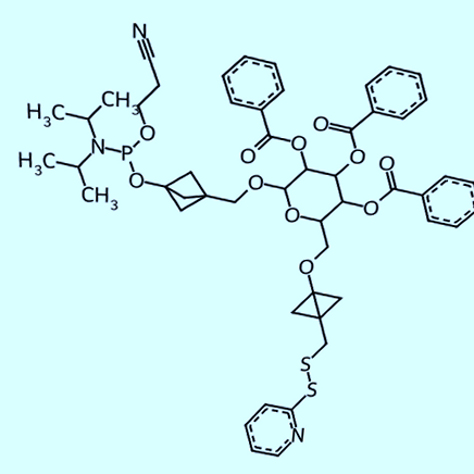 CC(C)N(C(C)C)P(OCCC#N)OC12CC(COC3OC(COC45CC4(CSSc4ccccn4)C5)C(OC(=O)c4ccccc4)C(OC(=O)c4ccccc4)C3OC(=O)c3ccccc3)(C1)C2